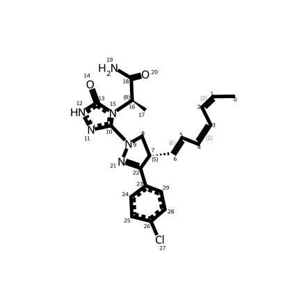 C\C=C/C=C\C=C\[C@H]1CN(c2n[nH]c(=O)n2[C@H](C)C(N)=O)N=C1c1ccc(Cl)cc1